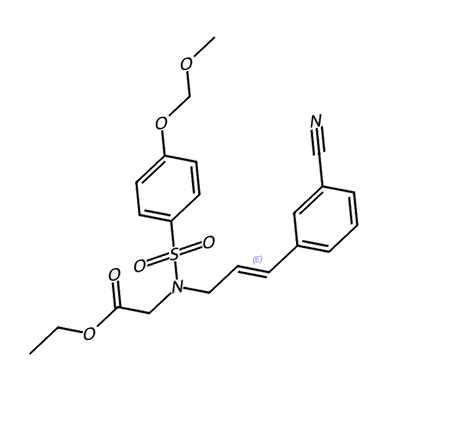 CCOC(=O)CN(C/C=C/c1cccc(C#N)c1)S(=O)(=O)c1ccc(OCOC)cc1